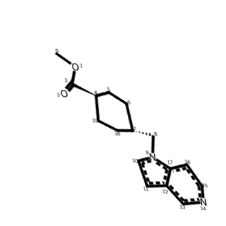 COC(=O)[C@H]1CC[C@H](Cn2ccc3cnccc32)CC1